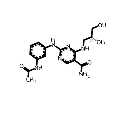 CC(=O)Nc1cccc(Nc2ncc(C(N)=O)c(NC[C@@H](O)CO)n2)c1